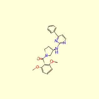 COc1cccc(OC)c1C(=O)N1CC[C@@H](Nc2nccc(-c3ccccc3)n2)C1